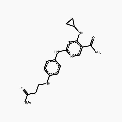 CNC(=O)CCNc1ccc(Nc2ncc(C(N)=O)c(NC3CC3)n2)cc1